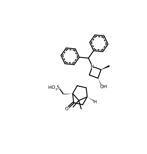 CC1(C)[C@H]2CC[C@]1(CS(=O)(=O)O)C(=O)C2.C[C@H]1[C@H](O)CN1C(c1ccccc1)c1ccccc1